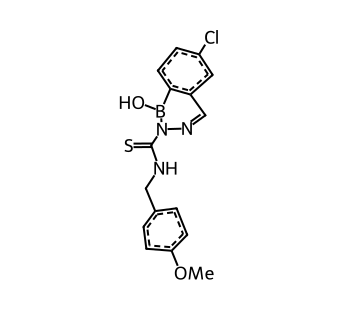 COc1ccc(CNC(=S)N2N=Cc3cc(Cl)ccc3B2O)cc1